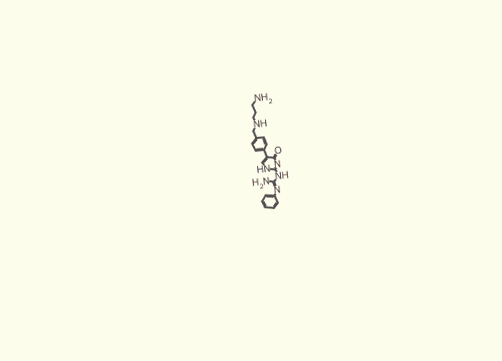 NCCCNCc1ccc(-c2c[nH]c(N/C(N)=N/c3ccccc3)nc2=O)cc1